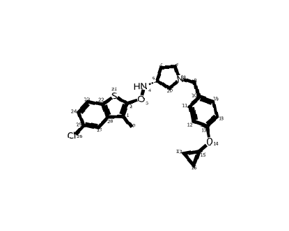 Cc1c(ON[C@@H]2CCN(Cc3ccc(OC4CC4)cc3)C2)sc2ccc(Cl)cc12